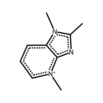 Cc1nc2c(ccc[n+]2C)n1C